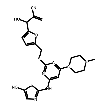 C=C(C#N)C(O)c1ccc(CSc2nc(Nc3ncc(C#N)s3)cc(N3CCN(C)CC3)n2)o1